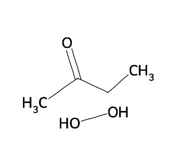 CCC(C)=O.OO